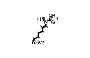 CCCCCCCCCCCCN(S)C(N)=O